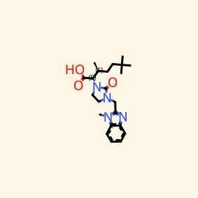 C[C@@H](CCC(C)(C)C)[C@@H](C(=O)O)N1CCN(Cc2nc3ccccc3n2C)C1=O